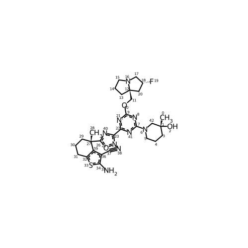 C[C@@]1(O)CCCN(c2nc(OC[C@@]34CCCN3C[C@H](F)C4)nc(-c3noc([C@@]4(C)CCCc5sc(N)c(C#N)c54)n3)n2)C1